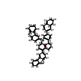 c1ccc(-c2ccc(-c3ccc4ccccc4c3)cc2N(c2ccc(-c3ccc4oc5ccccc5c4c3)cc2)c2ccc3sc4ccccc4c3c2)cc1